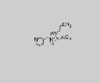 C=CCN/C(=C\[N+](=O)[O-])NCc1cccnc1